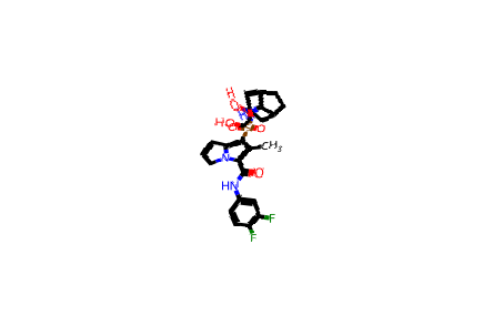 Cc1c(S(=O)(=O)NC2C3CCC2CC(O)(CO)C3)c2n(c1C(=O)Nc1ccc(F)c(F)c1)CC=C2